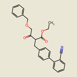 CCOC(=O)C(Cc1ccc(-c2ccccc2C#N)cc1)C(=O)COCc1ccccc1